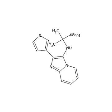 CCCCCC(C)(C)Nc1c(-c2ccsc2)nc2ccccn12